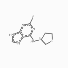 Fc1nc(N[C@H]2CCSC2)c2nc[nH]c2n1